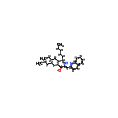 CCCCCCC(=O)[C@H](Cc1ccc2ccccc2n1)NC(CCCCC)CCCCC